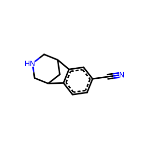 N#Cc1ccc2c(c1)C1CNCC2C1